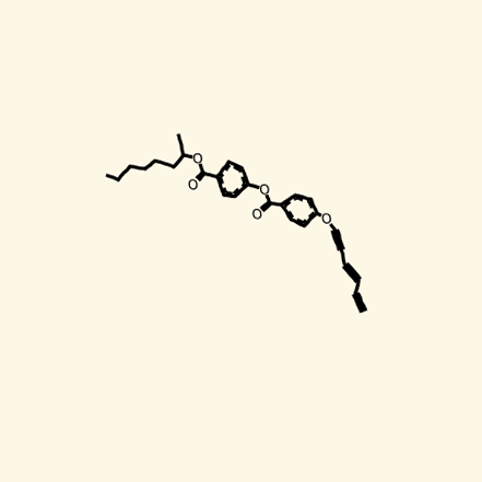 C#CC#CC#COc1ccc(C(=O)Oc2ccc(C(=O)OC(C)CCCCCC)cc2)cc1